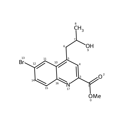 COC(=O)c1cc(CC(C)O)c2cc(Br)ccc2n1